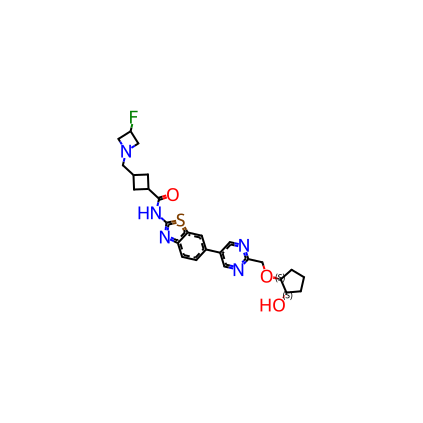 O=C(Nc1nc2ccc(-c3cnc(CO[C@H]4CCC[C@@H]4O)nc3)cc2s1)C1CC(CN2CC(F)C2)C1